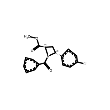 COC(=O)[C@H]1C[C@H](c2ccc(Cl)cc2)N1C(=O)c1ccccc1